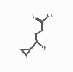 N#CC(CCC(N)=O)C1CC1